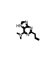 C=CCc1nc(N(C)C)c2[nH]cnc2n1